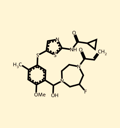 C=CC(=O)N1CCN(C(O)c2cc(Sc3cnc(NC(=O)C4CC4)s3)c(C)cc2OC)CC(F)C1